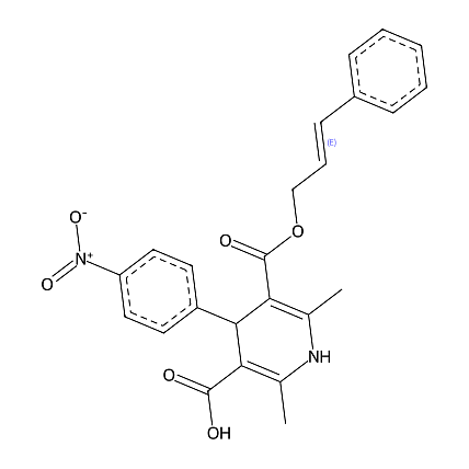 CC1=C(C(=O)O)C(c2ccc([N+](=O)[O-])cc2)C(C(=O)OC/C=C/c2ccccc2)=C(C)N1